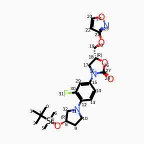 CC(C)(C)[Si](C)(C)O[C@@H]1CCN(c2ccc(N3C[C@H](COc4ccon4)OC3=O)cc2F)C1